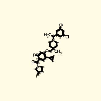 CC(c1cc(Cl)cc(Cl)c1)N1CCC(C)(COc2cc(F)c(C(=O)N3CCC(F)C3)cc2C2CC2)CC1